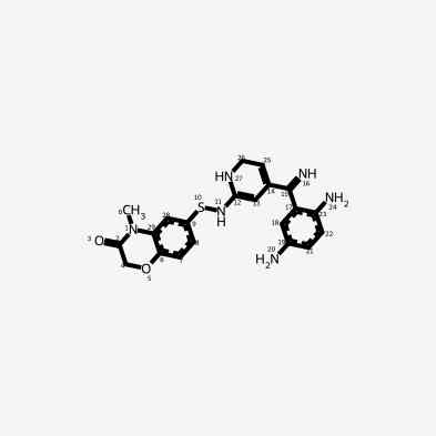 CN1C(=O)COc2ccc(SNC3=CC(C(=N)c4cc(N)ccc4N)=CCN3)cc21